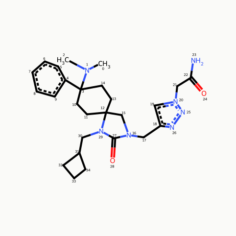 CN(C)C1(c2ccccc2)CCC2(CC1)CN(Cc1cn(CC(N)=O)nn1)C(=O)N2CC1CCC1